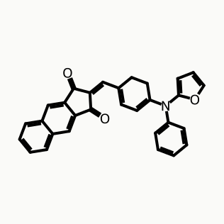 O=C1C(=CC2=CC=C(N(c3ccccc3)c3ccco3)CC2)C(=O)c2cc3ccccc3cc21